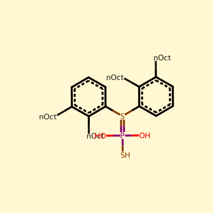 CCCCCCCCc1cccc(S(c2cccc(CCCCCCCC)c2CCCCCCCC)=P(O)(O)S)c1CCCCCCCC